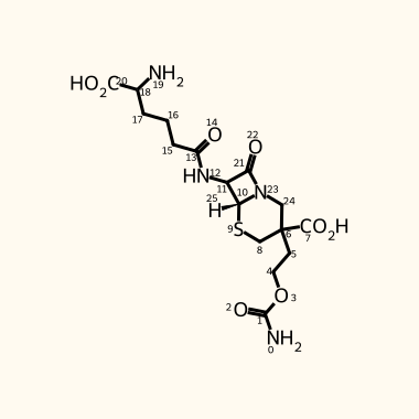 NC(=O)OCCC1(C(=O)O)CS[C@@H]2C(NC(=O)CCCC(N)C(=O)O)C(=O)N2C1